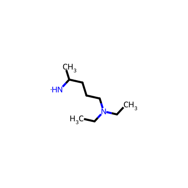 CCN(CC)CCCC(C)[NH]